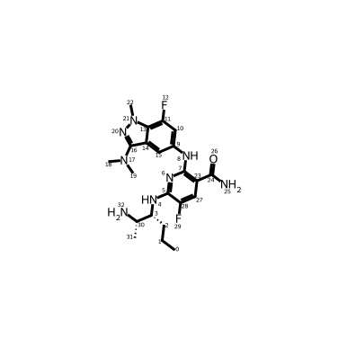 CCC[C@@H](Nc1nc(Nc2cc(F)c3c(c2)c(N(C)C)nn3C)c(C(N)=O)cc1F)[C@H](C)N